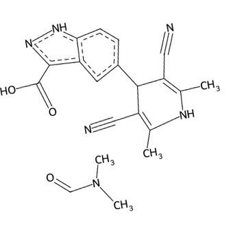 CC1=C(C#N)C(c2ccc3[nH]nc(C(=O)O)c3c2)C(C#N)=C(C)N1.CN(C)C=O